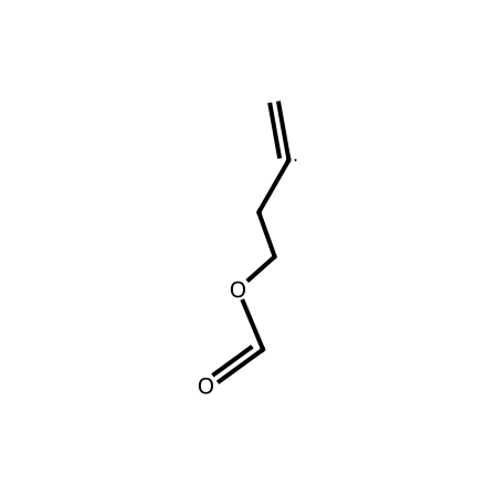 C=[C]CCOC=O